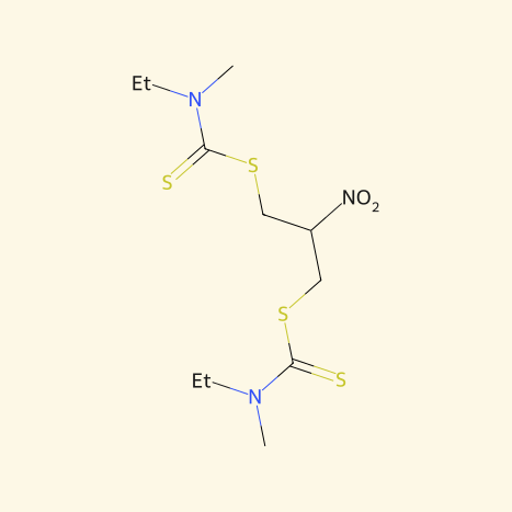 CCN(C)C(=S)SCC(CSC(=S)N(C)CC)[N+](=O)[O-]